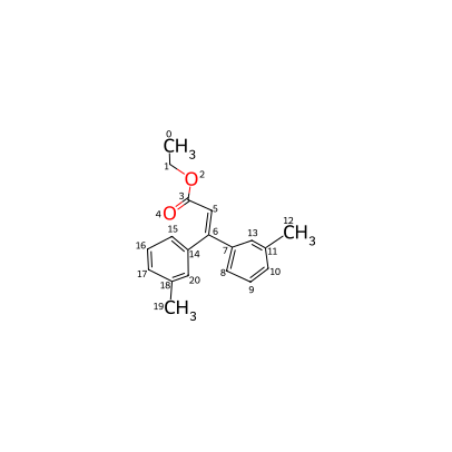 CCOC(=O)C=C(c1cccc(C)c1)c1cccc(C)c1